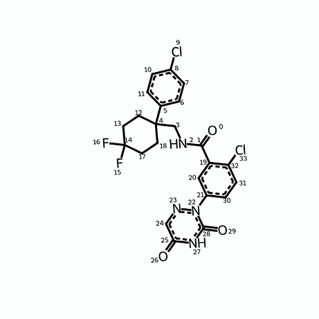 O=C(NCC1(c2ccc(Cl)cc2)CCC(F)(F)CC1)c1cc(-n2ncc(=O)[nH]c2=O)ccc1Cl